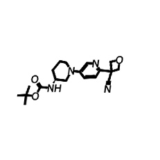 CC(C)(C)OC(=O)N[C@@H]1CCCN(c2ccc(C3(C#N)COC3)nc2)C1